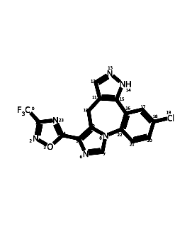 FC(F)(F)c1noc(-c2ncn3c2Cc2cn[nH]c2-c2cc(Cl)ccc2-3)n1